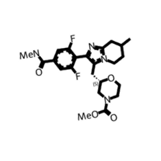 CNC(=O)c1cc(F)c(-c2nc3n(c2C[C@H]2CN(C(=O)OC)CCO2)CCC(C)C3)c(F)c1